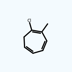 CC1=C(Cl)CC=CC=C1